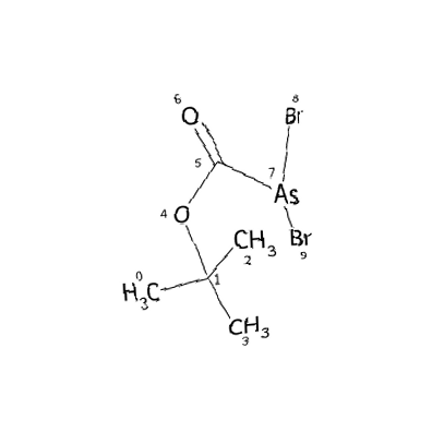 CC(C)(C)OC(=O)[As](Br)Br